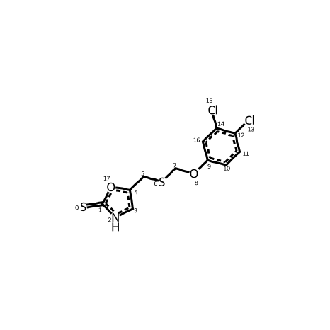 S=c1[nH]cc(CSCOc2ccc(Cl)c(Cl)c2)o1